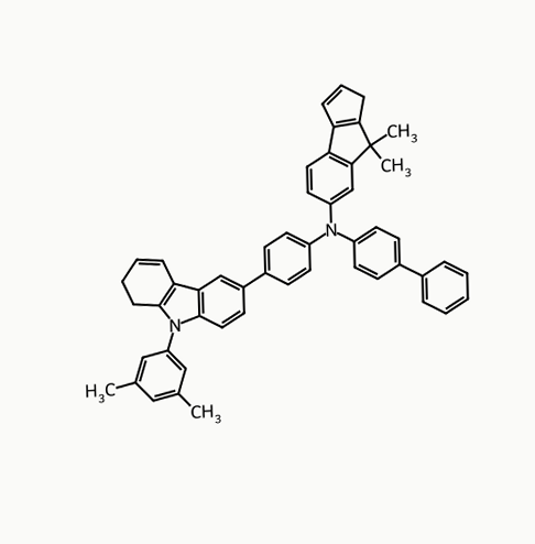 Cc1cc(C)cc(-n2c3c(c4cc(-c5ccc(N(c6ccc(-c7ccccc7)cc6)c6ccc7c(c6)C(C)(C)C6=C7C=CC6)cc5)ccc42)C=CCC3)c1